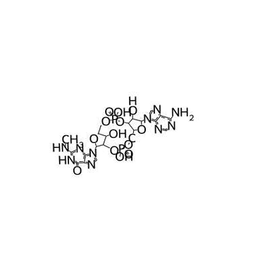 CNc1nc2c(ncn2C2OC3COP(=O)(O)OC4C(COP(=O)(O)OC2C3O)OC(n2cnc3c(N)ncnc32)C4O)c(=O)[nH]1